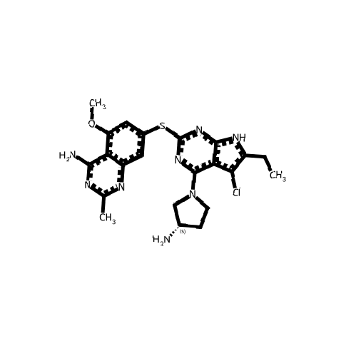 CCc1[nH]c2nc(Sc3cc(OC)c4c(N)nc(C)nc4c3)nc(N3CC[C@H](N)C3)c2c1Cl